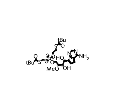 CO[C@H](COP(=O)(OCCSC(=O)C(C)(C)C)OCSC(=O)C(C)(C)C)[C@@H](O)[C@@H](O)c1ccc2c(N)ncnn12